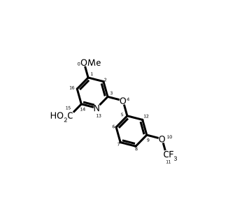 COc1cc(Oc2cccc(OC(F)(F)F)c2)nc(C(=O)O)c1